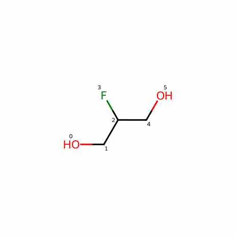 OCC(F)CO